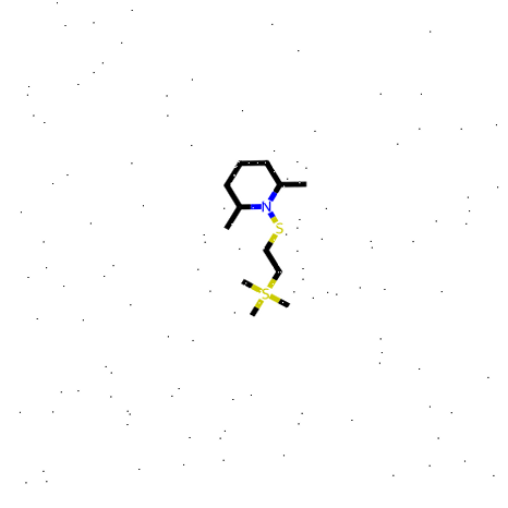 CC1CCCC(C)N1SCCS(C)(C)C